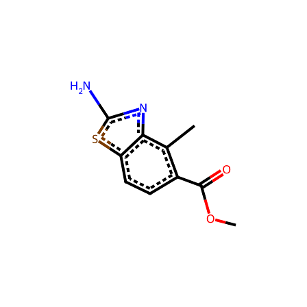 COC(=O)c1ccc2sc(N)nc2c1C